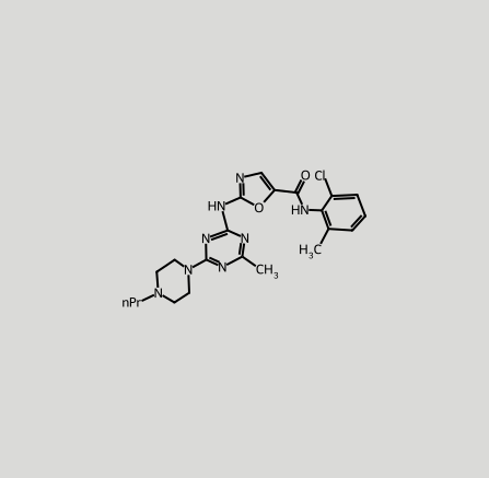 CCCN1CCN(c2nc(C)nc(Nc3ncc(C(=O)Nc4c(C)cccc4Cl)o3)n2)CC1